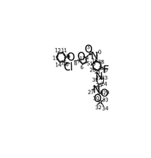 CN(C(=O)c1ccc(COc2ccccc2Cl)o1)c1ccc(N2CCC(N(C)C(=O)OC(C)(C)C)C2)c(F)c1